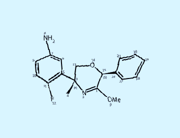 COC1=N[C@](C)(c2cc(N)ccc2F)CO[C@H]1c1ccccc1